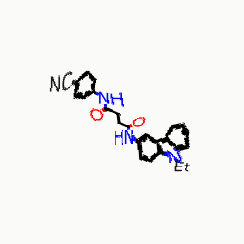 CCn1c2ccccc2c2cc(NC(=O)CCC(=O)Nc3ccc(C#N)cc3)ccc21